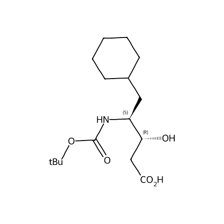 CC(C)(C)OC(=O)N[C@@H](CC1CCCCC1)[C@H](O)CC(=O)O